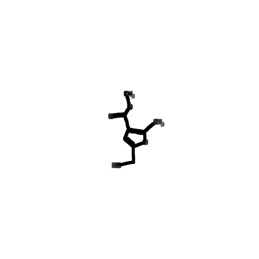 COC(=O)c1cc(CO)oc1C